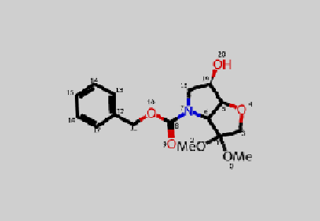 COC1(OC)COC2C1N(C(=O)OCc1ccccc1)C[C@H]2O